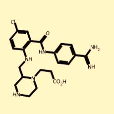 N=C(N)c1ccc(NC(=O)c2cc(Cl)ccc2NCC2CNCCN2CCC(=O)O)cc1